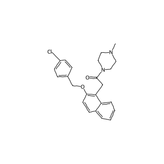 CN1CCN(C(=O)Cc2c(OCc3ccc(Cl)cc3)ccc3ccccc23)CC1